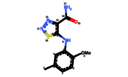 COc1ccc(C)cc1Nc1snnc1C(N)=O